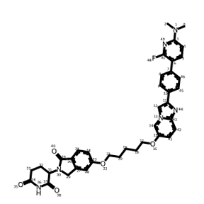 CN(C)c1ccc(-c2ccc(-c3cn4cc(OCCCCCOc5ccc6c(c5)CN(C5CCC(=O)NC5=O)C6=O)ccc4n3)cc2)c(F)n1